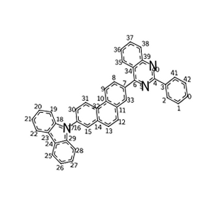 c1ccc(-c2nc(-c3ccc4c(ccc5cc(-n6c7ccccc7c7ccccc76)ccc54)c3)c3ccccc3n2)cc1